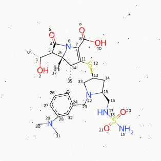 C[C@@H](O)[C@H]1C(=O)N2C(C(=O)O)=C(S[C@H]3C[C@@H](CNS(N)(=O)=O)N(Cc4cccc(N(C)C)c4)C3)[C@H](C)[C@H]12